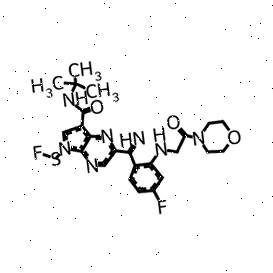 CC(C)(C)NC(=O)c1cn(SF)c2ncc(C(=N)c3ccc(F)cc3NCC(=O)N3CCOCC3)nc12